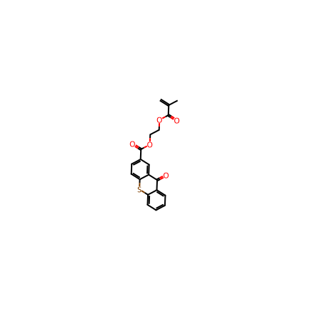 C=C(C)C(=O)OCCOC(=O)c1ccc2sc3ccccc3c(=O)c2c1